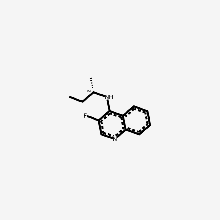 CC[C@H](C)Nc1c(F)cnc2ccccc12